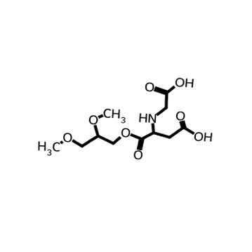 COCC(COC(=O)C(CC(=O)O)NCC(=O)O)OC